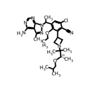 CCOc1c(C(C)n2nc(C)c3c(N)ncnc32)cc(Cl)c(C#N)c1C1CN(C(C)(C)[C@H](C)OCC(C)C)C1